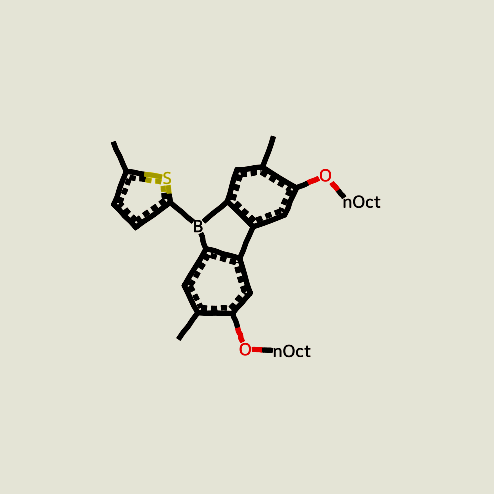 CCCCCCCCOc1cc2c(cc1C)B(c1ccc(C)s1)c1cc(C)c(OCCCCCCCC)cc1-2